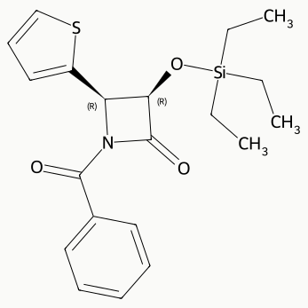 CC[Si](CC)(CC)O[C@H]1C(=O)N(C(=O)c2ccccc2)[C@H]1c1cccs1